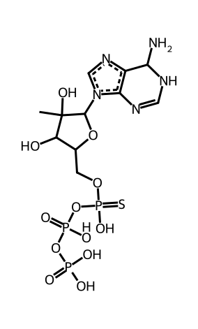 CC1(O)C(O)C(COP(O)(=S)OP(=O)(O)OP(=O)(O)O)OC1n1cnc2c1N=CNC2N